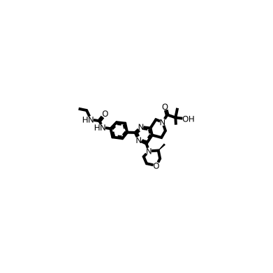 CCNC(=O)Nc1ccc(-c2nc3c(c(N4CCOC[C@@H]4C)n2)CCN(C(=O)C(C)(C)O)C3)cc1